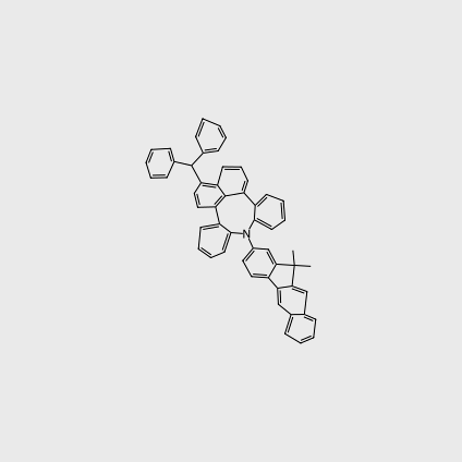 CC1(C)c2cc(N3c4ccccc4-c4cccc5c(C(c6ccccc6)c6ccccc6)ccc(c45)-c4ccccc43)ccc2-c2cc3ccccc3cc21